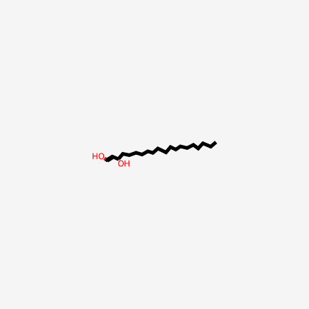 CCCCCCCCCCCCCCCCCC(O)C=CO